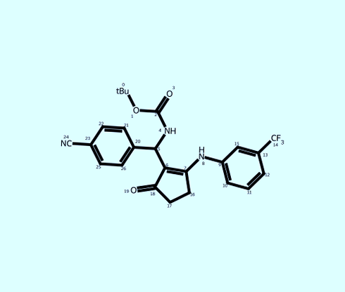 CC(C)(C)OC(=O)NC(C1=C(Nc2cccc(C(F)(F)F)c2)CCC1=O)c1ccc(C#N)cc1